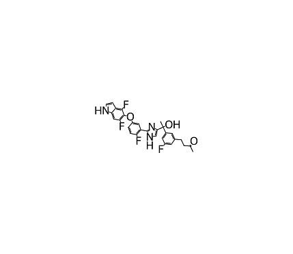 CC(=O)CCc1cc(F)cc(C(C)(O)c2c[nH]c(-c3cc(Oc4c(F)cc5[nH]ccc5c4F)ccc3F)n2)c1